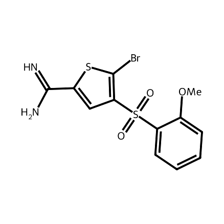 COc1ccccc1S(=O)(=O)c1cc(C(=N)N)sc1Br